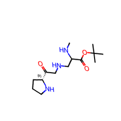 CNC(CNCC(=O)[C@H]1CCCN1)C(=O)OC(C)(C)C